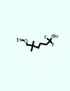 CCOCC(C)(C)CCCC(F)(F)C(C)(C)C